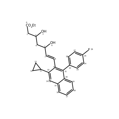 CCOC(=O)CC(O)CC(O)/C=C/c1c(C2CC2)nc2ccccc2c1-c1ccc(F)cc1